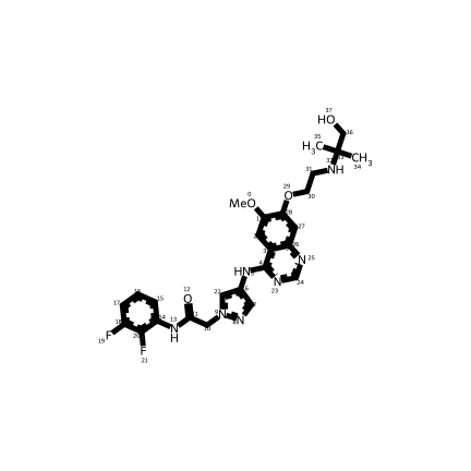 COc1cc2c(Nc3cnn(CC(=O)Nc4cccc(F)c4F)c3)ncnc2cc1OCCNC(C)(C)CO